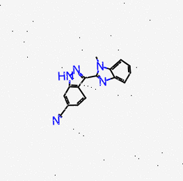 Cn1c(-c2n[nH]c3cc(C#N)ccc23)nc2ccccc21